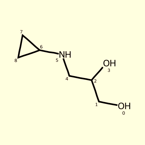 OCC(O)CNC1CC1